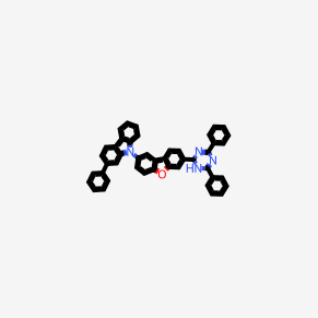 c1ccc(C2=NC(c3ccc4c(c3)oc3ccc(-n5c6ccccc6c6ccc(-c7ccccc7)cc65)cc34)NC(c3ccccc3)=N2)cc1